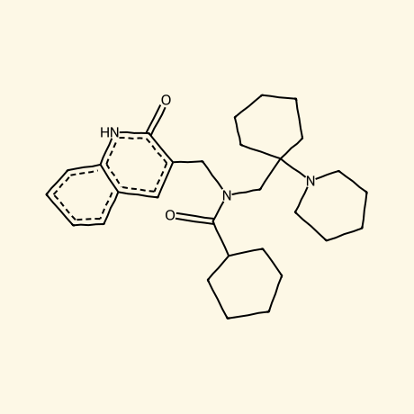 O=C(C1CCCCC1)N(Cc1cc2ccccc2[nH]c1=O)CC1(N2CCCCC2)CCCCC1